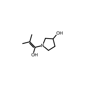 CC(C)=C(O)N1CCC(O)C1